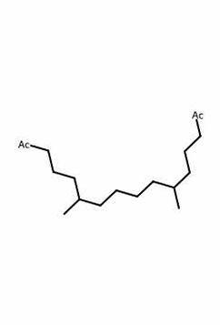 CC(=O)CCCC(C)CCCCC(C)CCCC(C)=O